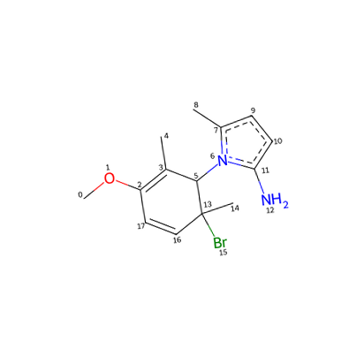 COC1=C(C)C(n2c(C)ccc2N)C(C)(Br)C=C1